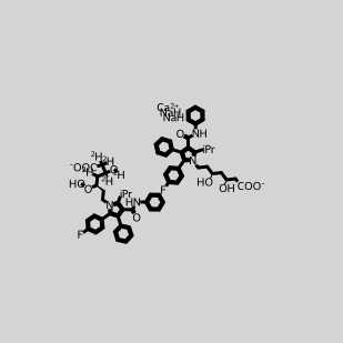 CC(C)c1c(C(=O)Nc2ccccc2)c(-c2ccccc2)c(-c2ccc(F)cc2)n1CC[C@@H](O)C[C@@H](O)CC(=O)[O-].[2H]O[C@]([2H])(C([2H])[C@@H](CCn1c(-c2ccc(F)cc2)c(-c2ccccc2)c(C(=O)Nc2ccccc2)c1C(C)C)OO)C([2H])([2H])C(=O)[O-].[Ca+2].[NaH].[NaH]